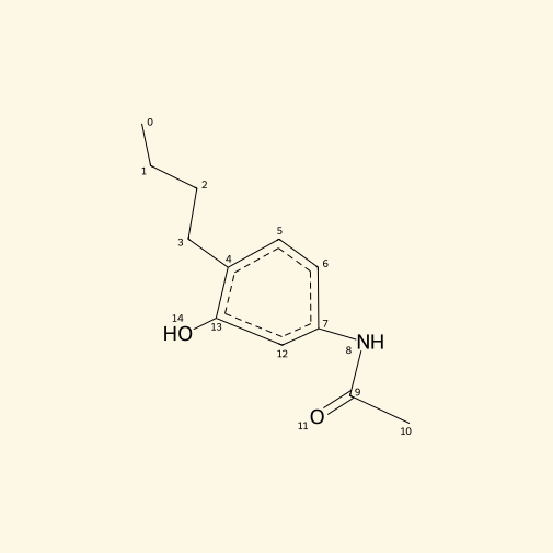 CCCCc1ccc(NC(C)=O)cc1O